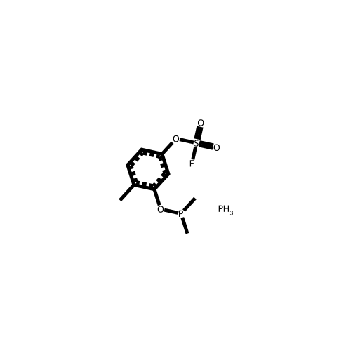 Cc1ccc(OS(=O)(=O)F)cc1OP(C)C.P